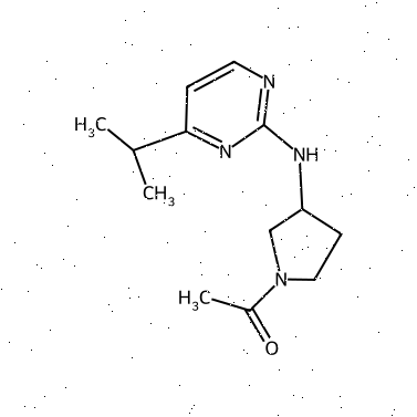 CC(=O)N1CCC(Nc2nccc(C(C)C)n2)C1